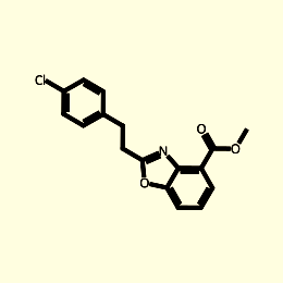 COC(=O)c1cccc2oc(CCc3ccc(Cl)cc3)nc12